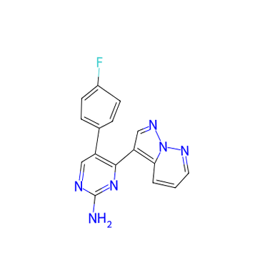 Nc1ncc(-c2ccc(F)cc2)c(-c2cnn3ncccc23)n1